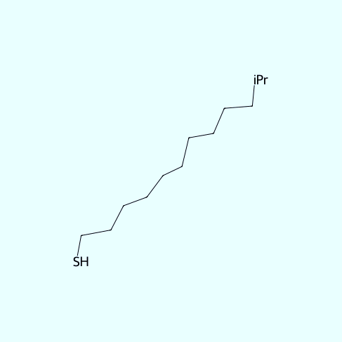 CC(C)CCCCCCCCCCS